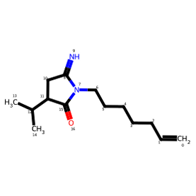 C=CCCCCCN1C(=N)CC(C(C)C)C1=O